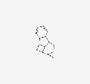 C1=CC2C(C=C1)C1CC3C4CC4CC2C13